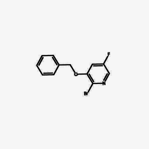 Fc1cnc(Br)c(OCc2ccccc2)c1